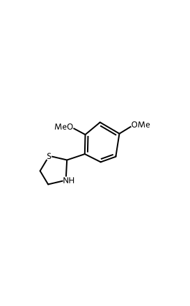 COc1ccc(C2NCCS2)c(OC)c1